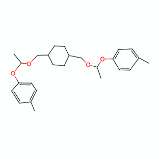 Cc1ccc(OC(C)OCC2CCC(COC(C)Oc3ccc(C)cc3)CC2)cc1